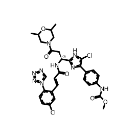 COC(=O)Nc1ccc(-c2nc([C@H](CC(=O)N3CC(C)OC(C)C3)NC(=O)C=Cc3cc(Cl)ccc3-n3cnnn3)[nH]c2Cl)cc1